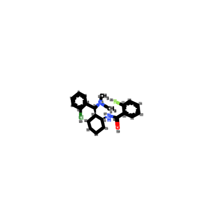 CN(C)C(c1ccccc1Cl)[C@H]1CCCC[C@H]1NC(=O)c1ccccc1F